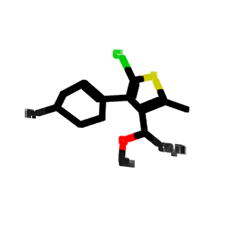 CCOC(=O)C(OC(C)(C)C)c1c(C)sc(Cl)c1C1=CCC(C(C)C)CC1